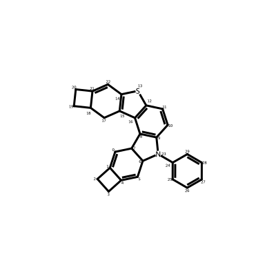 C1=C2CCC2=CC2C1c1c(ccc3sc4c(c13)CC1CCC1=C4)N2c1ccccc1